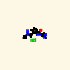 Cc1ccc(C(=O)Nc2cnn(C)c2)cc1[C@@H]1C[C@H]1NC1CCC1.Cl